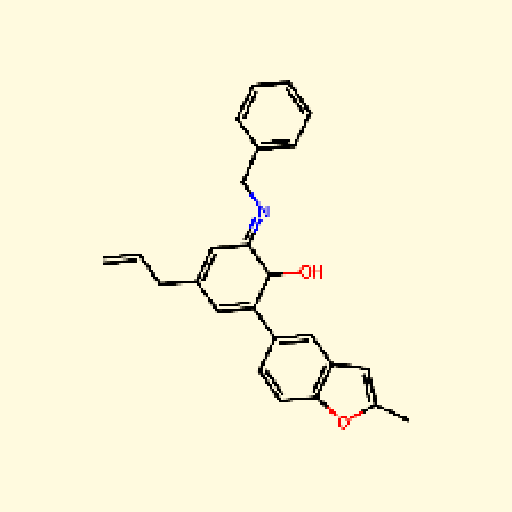 C=CCC1=C/C(=N\Cc2ccccc2)C(O)C(c2ccc3oc(C)cc3c2)=C1